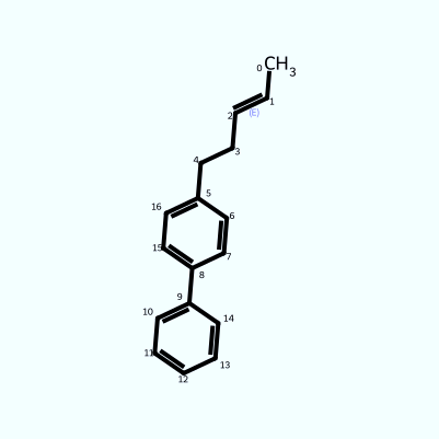 C/C=C/CCc1ccc(-c2ccccc2)cc1